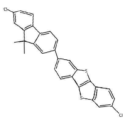 CC1(C)c2cc(Cl)ccc2-c2ccc(-c3ccc4c(c3)sc3c5ccc(Cl)cc5sc43)cc21